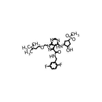 C[Si](C)(C)CCOCn1nc(C(=O)NCc2cc(F)ccc2F)c2c(N[C@@H]3CC(S(C)(=O)=O)C[C@H]3O)ncnc21